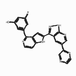 Oc1cc(F)cc(-c2nccc3[nH]c(-c4n[nH]c5ncc(-c6cnccn6)cc45)cc23)c1